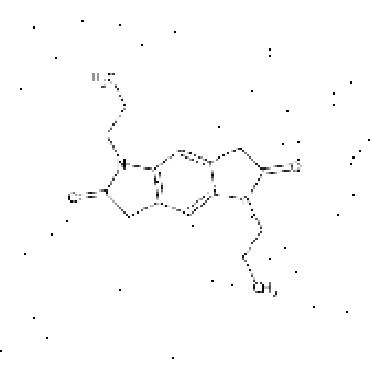 CCCN1C(=O)Cc2cc3c(cc21)CC(=O)N3CCC